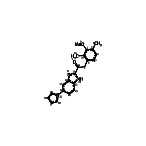 COc1c(C)cnc(CC(=O)c2nc3cc(-n4cccc4)ccc3[nH]2)c1C